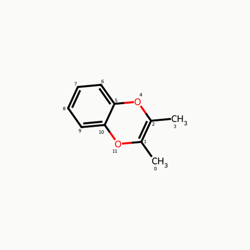 CC1=C(C)Oc2ccccc2O1